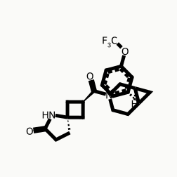 O=C1CC[C@]2(C[C@H](C(=O)N3CC[C@]4(c5cccc(OC(F)(F)F)c5)C[C@@H]4C3)C2)N1